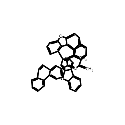 C=C(/N=C(\N=C(/C)c1cccc2oc3cccc(-c4ccc5c(c4)oc4ccccc45)c3c12)c1ccc2c(ccc3ccccc32)c1)c1ccccc1